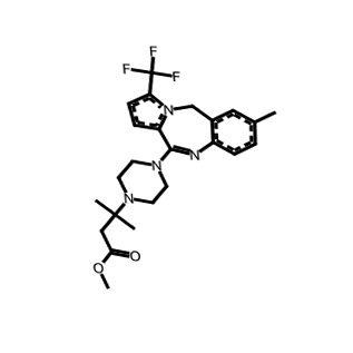 COC(=O)CC(C)(C)N1CCN(C2=Nc3ccc(C)cc3Cn3c2ccc3C(F)(F)F)CC1